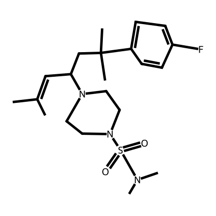 CC(C)=CC(CC(C)(C)c1ccc(F)cc1)N1CCN(S(=O)(=O)N(C)C)CC1